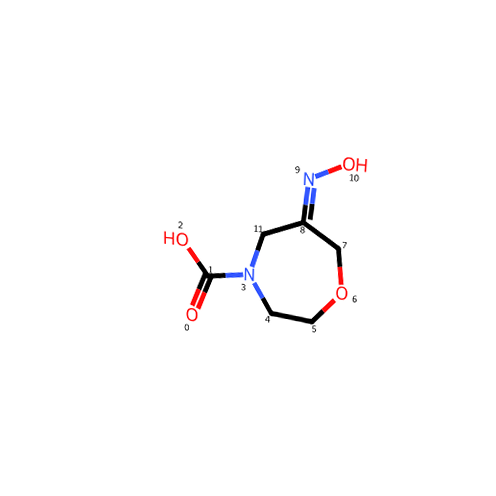 O=C(O)N1CCOCC(=NO)C1